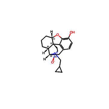 [O-][N@+]1(CC2CC2)CC[C@]23c4c5ccc(O)c4O[C@H]2CCC[C@H]3[C@H]1C5